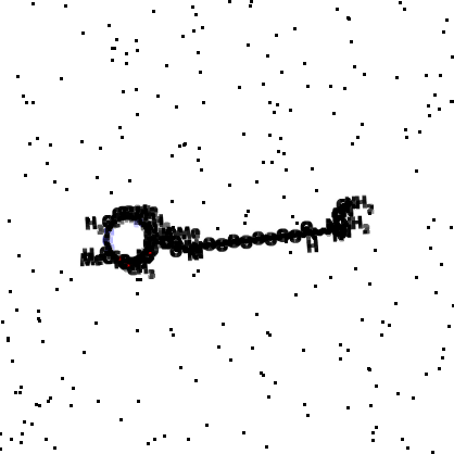 CO[C@H]1C[C@@H]2CC[C@@H](C)[C@@](O)(O2)C(=O)C(=O)N2CCCC[C@H]2C(=O)O[C@H]([C@H](N)C[C@@H]2CC[C@@H](OC(=O)NCc3cn(CCOCCOCCOCCOCCOCCOCCOCCOCCC(=O)NCCCCn4nc(-c5ccc6oc(N)nc6c5)c5c(N)ncnc54)nn3)[C@H](OC)C2)CC(=O)[C@H](C)/C=C(\C)[C@@H](O)[C@@H](OC)C(=O)[C@H](C)C[C@H](C)/C=C/C=C/C=C/1C